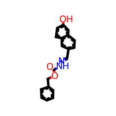 O=C(NN=Cc1ccc2cc(O)ccc2c1)OCc1ccccc1